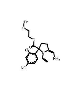 C=CN1/C(=C\N)CCC1(C(=O)OCCOC(C)C)c1ccc(C#N)cc1Cl